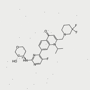 CC(C)n1c(CN2CCCC(F)(F)C2)cc(=O)c2ccc(-c3nc(N[C@@H]4CCOC[C@H]4O)ncc3F)cc21